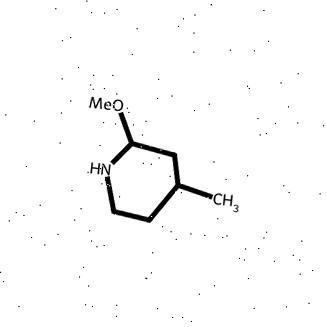 COC1CC(C)CCN1